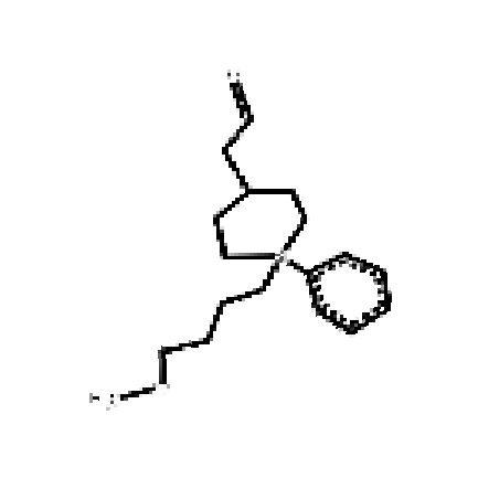 COCCCC[Si]1(c2ccccc2)CCC(CC=O)CC1